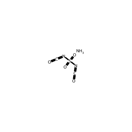 N.O=C=NS(=O)(=O)N=C=O